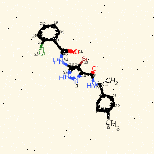 Cc1ccc([C@@H](C)NC(=O)c2n[nH]c(NC(=O)c3ccccc3Cl)c2Br)cc1